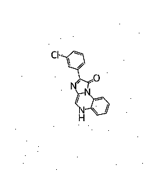 O=c1c(-c2cccc(Cl)c2)nc2c[nH]c3ccccc3n1-2